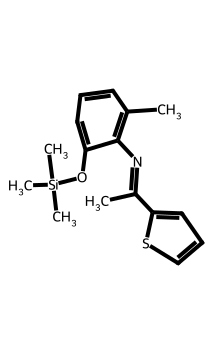 CC(=Nc1c(C)cccc1O[Si](C)(C)C)c1cccs1